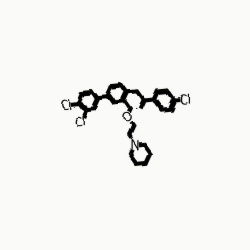 [CH2]C(Cc1ccc(-c2ccc(Cl)c(Cl)c2)cc1COCCN1CCCCC1)c1ccc(Cl)cc1